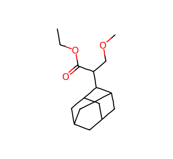 CCOC(=O)C(COC)C1C2CC3CC(C2)CC1C3